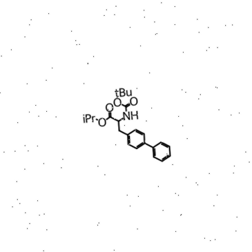 CC(C)OC(=O)C(Cc1ccc(-c2ccccc2)cc1)NC(=O)OC(C)(C)C